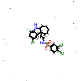 C=C1CCCCC2Nc3c(F)cc(Br)cc3C12CCNS(=O)(=O)c1ccc(Cl)c(Cl)c1